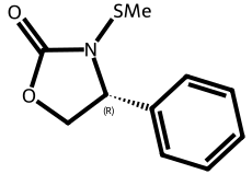 CSN1C(=O)OC[C@H]1c1ccccc1